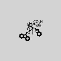 CCCCC(C(=O)O)n1nnnc1[C@H](Cc1cc2ccccc2s1)NC(=O)OCC1c2ccccc2-c2ccccc21